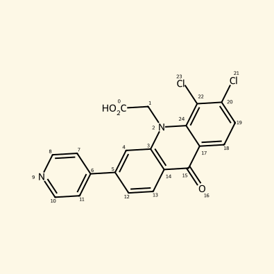 O=C(O)Cn1c2cc(-c3ccncc3)ccc2c(=O)c2ccc(Cl)c(Cl)c21